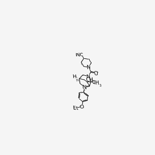 CCOc1ccc(N2C[C@H]3CN(C(=O)N4CCC(C#N)CC4)CC2C(C)(C)C3)cc1